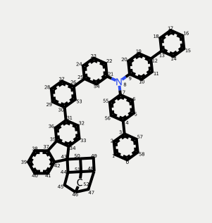 c1ccc(-c2ccc(N(c3ccc(-c4ccccc4)cc3)c3cccc(-c4cccc(-c5ccc6c(c5)-c5ccccc5C65C6CC7CC8CC5C86C7)c4)c3)cc2)cc1